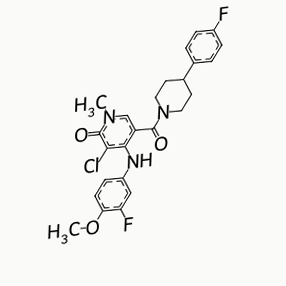 COc1ccc(Nc2c(C(=O)N3CCC(c4ccc(F)cc4)CC3)cn(C)c(=O)c2Cl)cc1F